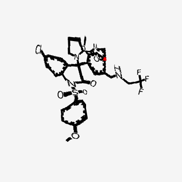 COc1ccc(S(=O)(=O)N2C(=O)C(c3cc(CNCC(F)(F)F)ccc3OC)(N3CCC[C@H]3c3ncco3)c3cc(Cl)ccc32)cc1